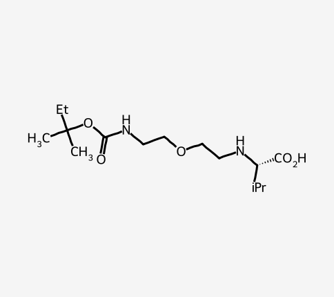 CCC(C)(C)OC(=O)NCCOCCN[C@H](C(=O)O)C(C)C